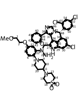 COCCOc1ccc(N2CCC(N3CCS(=O)(=O)CC3)CC2)c(N(N)C(=O)c2[nH]c3cc(Cl)cc4c3c2-c2c(-c3ccccc3)ncn2[C@@H]4c2ccc(Cl)cc2Cl)c1